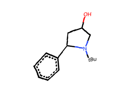 CC(C)(C)N1CC(O)CC1c1ccccc1